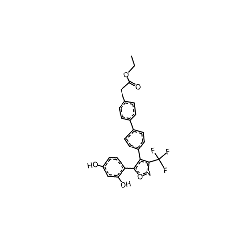 CCOC(=O)Cc1ccc(-c2ccc(-c3c(C(F)(F)F)noc3-c3ccc(O)cc3O)cc2)cc1